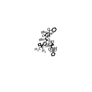 CC[C@@H]1C[C@]1(NC(=O)[C@@H]1C[C@@]2(CN1C(=O)[C@@H](NC(=O)[C@@H](NC(=O)[C@@H]1CCCCN1C(C)C)C(C)(C)C)C(C)(C)C)C(C)(C)C21CCC1)C(=O)NS(=O)(=O)N1CCCC1